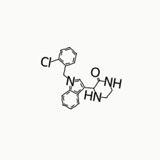 O=C1NCCNC1c1cn(Cc2ccccc2Cl)c2ccccc12